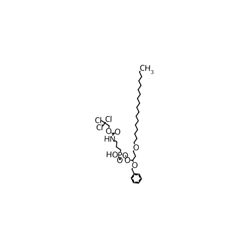 CCCCCCCCCCCCCCCCCCOCCC(OCc1ccccc1)OOP(=O)(O)CCCNC(=O)OCC(Cl)(Cl)Cl